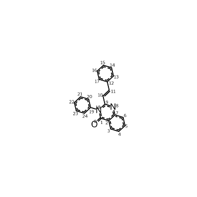 O=c1c2ccccc2nc(C=Cc2ccccc2)n1-c1ccccc1